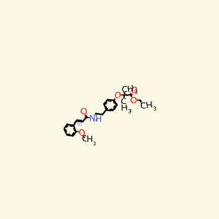 CCOC(=O)C(C)(C)Oc1ccc(CCNC(=O)/C=C/c2ccccc2OC)cc1